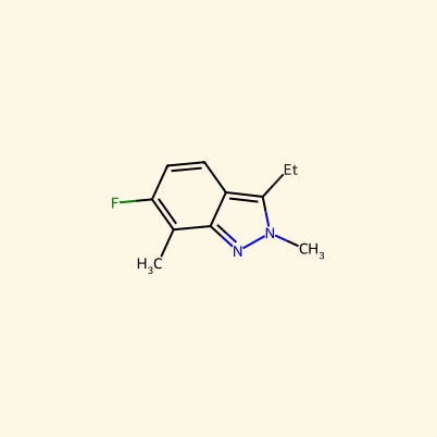 CCc1c2ccc(F)c(C)c2nn1C